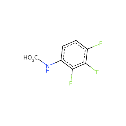 O=C(O)Nc1ccc(F)c(F)c1F